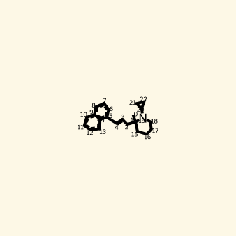 CC1(CC=Cc2cccc3ccccc23)CCCCN1C1CC1